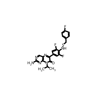 CC(C)n1c(=O)c(-c2cc(F)c(NSCc3ccc(F)cc3)c(F)c2)nc2cnc(N)nc21